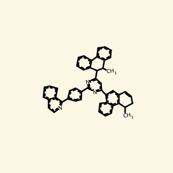 CC1CC=Cc2cc(-c3cc(C4c5ccccc5-c5ccccc5C4C)nc(-c4ccc(-c5nccc6ccccc56)cc4)n3)c3ccccc3c21